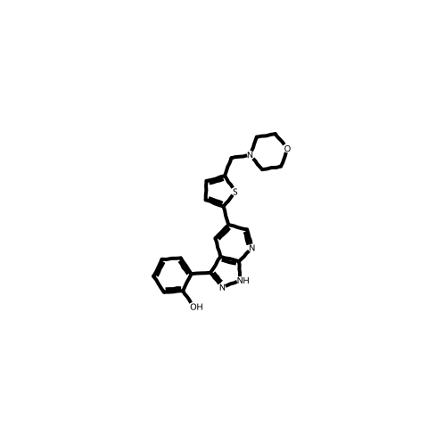 Oc1ccccc1-c1n[nH]c2ncc(-c3ccc(CN4CCOCC4)s3)cc12